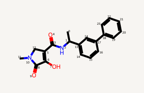 CC(NC(=O)C1=C(O)C(=O)N(C)C1)c1cccc(-c2ccccc2)c1